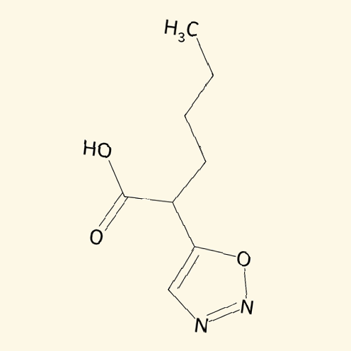 CCCCC(C(=O)O)c1cnno1